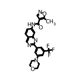 Cc1oncc1C(=O)Nc1ccc2cnc(-c3cc(N4CCOCC4)cc(C(F)(F)F)c3)nc2c1